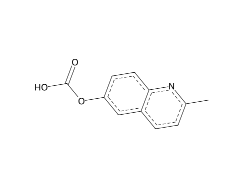 Cc1ccc2cc(OC(=O)O)ccc2n1